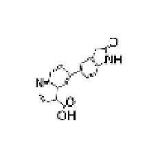 O=C1Cc2cc(-c3ccc4nccc(C(=O)O)c4c3)ccc2N1